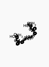 Cc1c(C(=O)c2ccc(N)c(C(=O)O)c2)c2ccccn2c1-c1cccc(OCC(=O)NCCNC(=O)COc2cccc(-c3c(C)c(C(=O)c4ccc(N)c(C(=O)O)c4)c4ccccn34)c2)c1